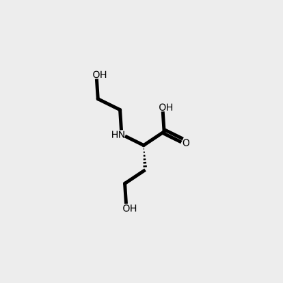 O=C(O)[C@H](CCO)NCCO